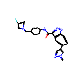 Cn1cc(-c2ccc3[nH]nc(C(=O)NC4CCC(CN5CC(F)C5)CC4)c3c2)cn1